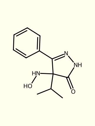 CC(C)C1(NO)C(=O)NN=C1c1ccccc1